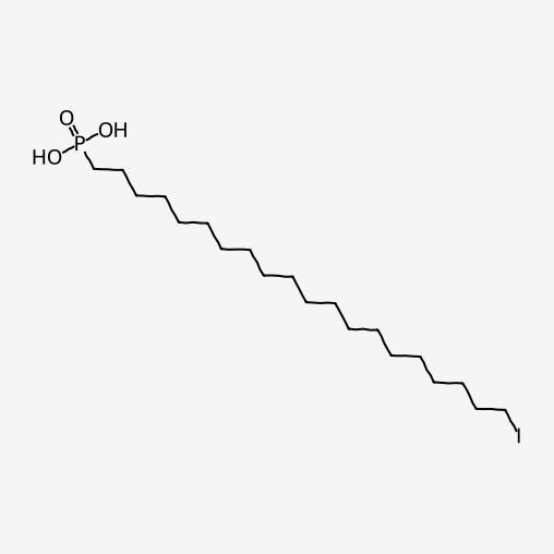 O=P(O)(O)CCCCCCCCCCCCCCCCCCCCI